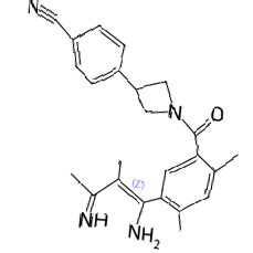 CC(=N)/C(C)=C(\N)c1cc(C(=O)N2CC(c3ccc(C#N)cc3)C2)c(C)cc1C